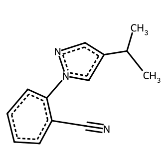 CC(C)c1cnn(-c2ccccc2C#N)c1